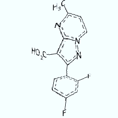 Cc1ccn2nc(-c3ccc(F)cc3F)c(C(=O)O)c2n1